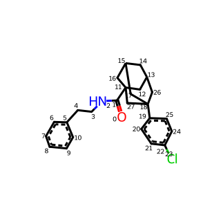 O=C(NCCc1ccccc1)C12CC3CC(C1)CC(c1ccc(Cl)cc1)(C3)C2